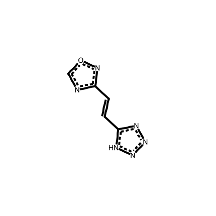 C(=Cc1nnn[nH]1)c1ncon1